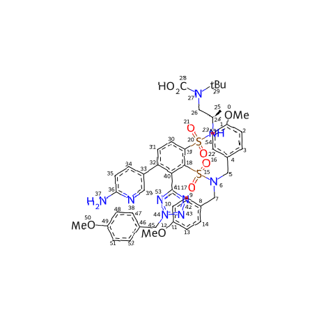 COc1ccc(CN(Cc2ccc(OC)cc2)S(=O)(=O)c2c(S(=O)(=O)N[C@H](C)CN(C(=O)O)C(C)(C)C)ccc(-c3ccc(N)nc3)c2-c2nnn(Cc3ccc(OC)cc3)n2)cc1